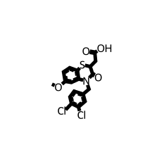 COc1ccc2c(c1)N(Cc1ccc(Cl)c(Cl)c1)C(=O)C(CC(=O)O)S2